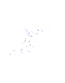 C=C1CN(Cc2ccc(F)cc2)[C@@H](C)CN1C(=O)c1cc2c(C(=O)C(=O)N3CCCC3)cn(N)c2cc1Cl